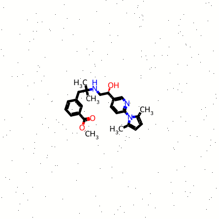 COC(=O)c1cccc(CC(C)(C)NC[C@@H](O)c2ccc(-n3c(C)ccc3C)nc2)c1